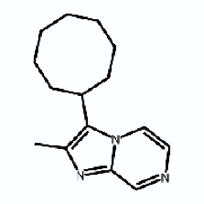 Cc1nc2cnccn2c1C1CCCCCCC1